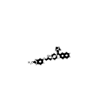 Cc1nc2cc(OC[C@@H](O)CN3CCN(C(c4ccc5ccccc5c4)c4ncno4)CC3)ccc2s1